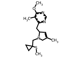 COc1ncnc(CC2C=C(C)CN2CC2(SC)CC2)c1C